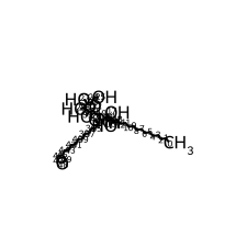 CCCCCCCCCCCCCC[C@@H](O)[C@@H](O)[C@H](CCC1OC(CO)C(O)C(O)C1O)NC(=O)CCCCCCCCCCC1CCOC1